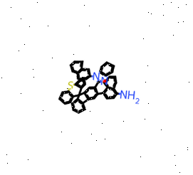 Nc1ccc(-c2cc3c(cc2-c2nc4ccccc4n2-c2ccc4ccccc4c2)C2(c4ccccc4Sc4ccccc42)c2ccccc2-3)c2ccccc12